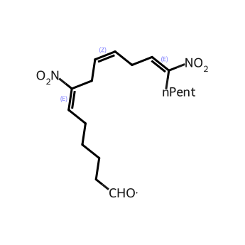 CCCCC/C(=C\C/C=C\C/C(=C\CCCC[C]=O)[N+](=O)[O-])[N+](=O)[O-]